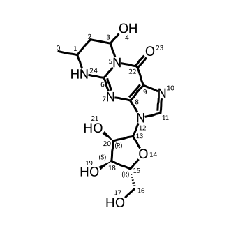 CC1CC(O)n2c(nc3c(ncn3C3O[C@H](CO)[C@@H](O)[C@H]3O)c2=O)N1